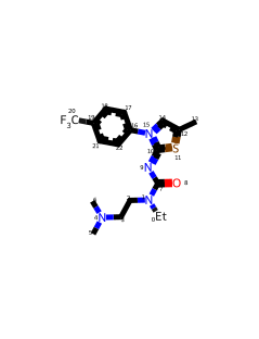 CCN(CCN(C)C)C(=O)/N=c1\sc(C)cn1-c1ccc(C(F)(F)F)cc1